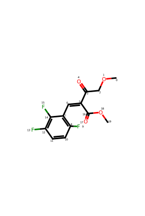 COCC(=O)C(=Cc1c(F)ccc(F)c1F)C(=O)OC